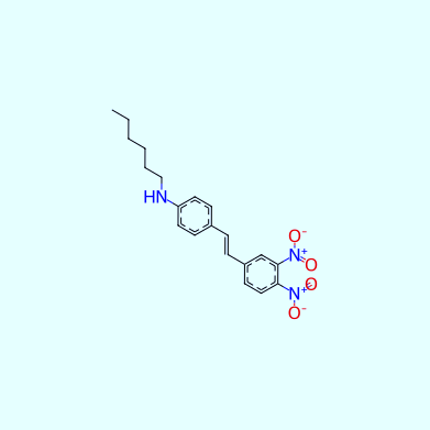 CCCCCCNc1ccc(C=Cc2ccc([N+](=O)[O-])c([N+](=O)[O-])c2)cc1